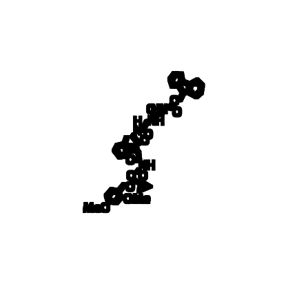 COc1ccc(COC(=O)C2(OCNC(=O)CNC(=O)[C@H](Cc3ccccc3)NC(=O)CNC(=O)CNC(=O)OCC3c4ccccc4-c4ccccc43)CC2)c(OC)c1